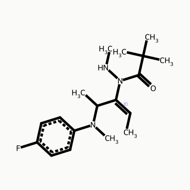 C/C=C(\C(C)N(C)c1ccc(F)cc1)N(NC)C(=O)C(C)(C)C